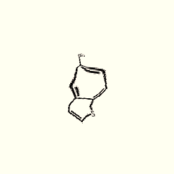 CC(C)(C)c1ccc2s[c]cc2c1